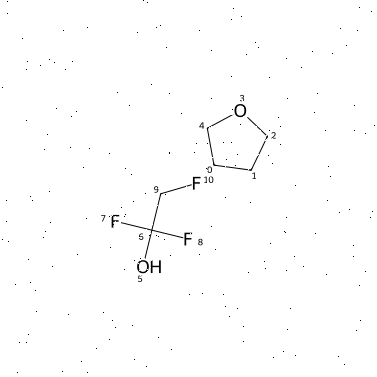 C1CCOC1.OC(F)(F)CF